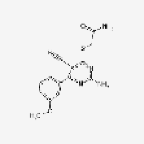 COc1cccc(-c2nc(N)nc(SCC(N)=O)c2C#N)c1